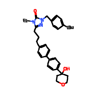 CCn1c(CCCc2ccc(-c3ccc(C4(O)CCOCC4)cc3)cc2)nn(Cc2ccc(C(C)(C)C)cc2)c1=O